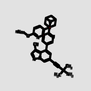 CCCCCCCCCOc1ccc(CN2C3CC2CN(c2ccc(-c4cc(C#CC(C)(C)N)cn5ncc(C#N)c45)cn2)C3)cn1